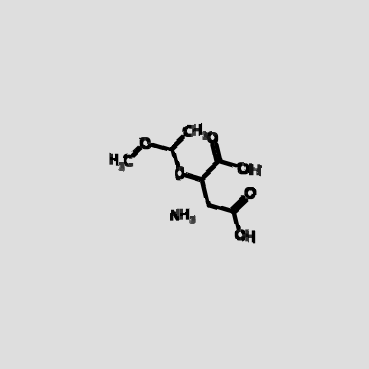 COC(C)OC(CC(=O)O)C(=O)O.N